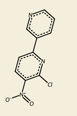 O=[N+]([O-])c1ccc(-c2cccnc2)nc1Cl